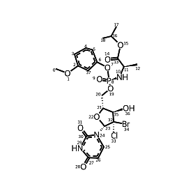 COc1cccc(O[P@](=O)(N[C@H](C)C(=O)OC(C)C)OC[C@H]2O[C@@H](n3ccc(=O)[nH]c3=O)[C@](Cl)(Br)[C@@H]2O)c1